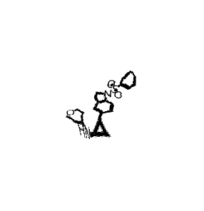 O=S(=O)(c1ccccc1)N1CCc2cc(C3CC3NC3CCOCC3)ccc21